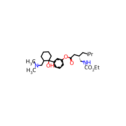 CCOC(=O)NC[C@H](CC(=O)Oc1cccc(C2(O)CCCCC2CN(C)C)c1)CC(C)C